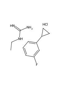 CCNC(=N)N.Cl.Fc1cccc(C2CC2)c1